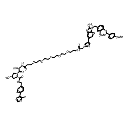 COc1ccc(COc2ccc(Cn3c(N)nc4cc(-c5cnn(CC(=O)NCCOCCOCCOCCOCCOCCC(=O)N[C@H](C(=O)N6C[C@H](O)C[C@H]6C(=O)NCc6ccc(-c7scnc7C)cc6)C(C)(C)C)c5)cnc43)cc2OC)cc1